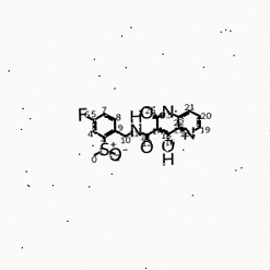 C[S+]([O-])c1cc(F)ccc1CNC(=O)C1=C(O)c2ncccc2[N]C1=O